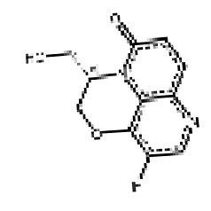 O=c1ccc2ncc(F)c3c2n1[C@@H](CO)CO3